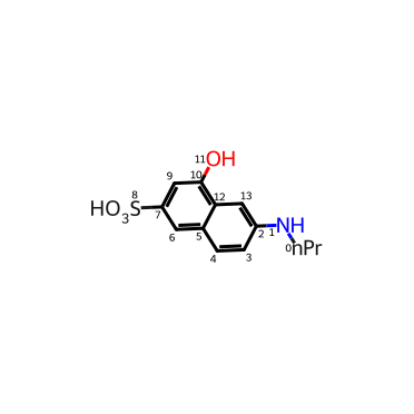 CCCNc1ccc2cc(S(=O)(=O)O)cc(O)c2c1